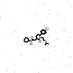 CC(C)SCCN1C(=O)C(CC(=O)NC2CCCCC2)CCC1c1ccc(Cl)cc1